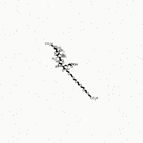 CCCC[C@@H](C(=O)N(C)[C@@H](CCCC)C(=O)N[C@@H](CC(C)C)C(=O)N[C@@H](CSCC(=O)NO)C(=O)NCCOCCOCCOCCOCCOCCOCCC(=O)O)N(C)C(=O)/C(C)=C/NCC(=O)O